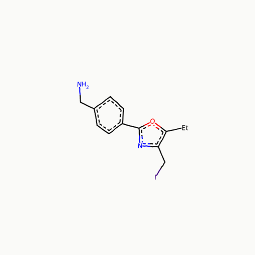 CCc1oc(-c2ccc(CN)cc2)nc1CI